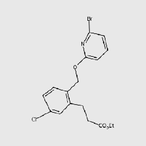 CCOC(=O)CCc1cc(Cl)ccc1COc1cccc(Br)n1